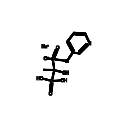 CC(O)(P(=O)(O)O)P(=O)([O-])Oc1cccnc1.[Na+]